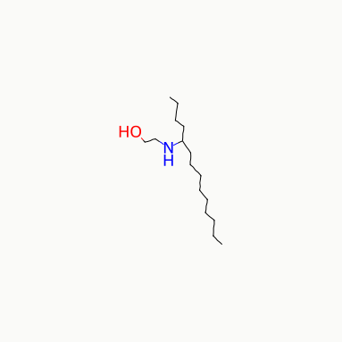 CCCCCCCCCC(CCCC)NCCO